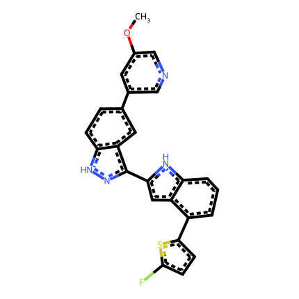 COc1cncc(-c2ccc3[nH]nc(-c4cc5c(-c6ccc(F)s6)cccc5[nH]4)c3c2)c1